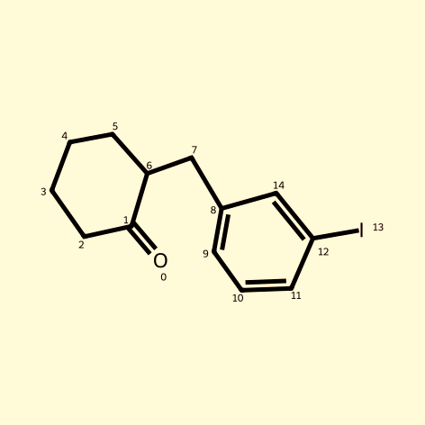 O=C1CCCCC1Cc1cccc(I)c1